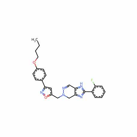 CCCCOc1ccc(-c2cc(CN3Cc4nc(-c5ccccc5F)[nH]c4C=N3)on2)cc1